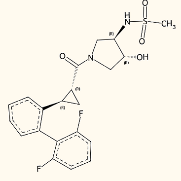 CS(=O)(=O)N[C@@H]1CN(C(=O)[C@@H]2C[C@H]2c2ccccc2-c2c(F)cccc2F)C[C@H]1O